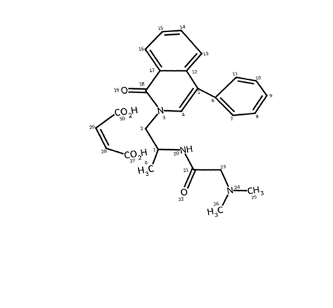 CC(Cn1cc(-c2ccccc2)c2ccccc2c1=O)NC(=O)CN(C)C.O=C(O)/C=C\C(=O)O